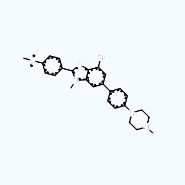 CC(C)N1CCN(c2ccc(-c3cc([N+](=O)[O-])c4nc(-c5ccc(S(C)(=O)=O)cc5)n(C)c4c3)cc2)CC1